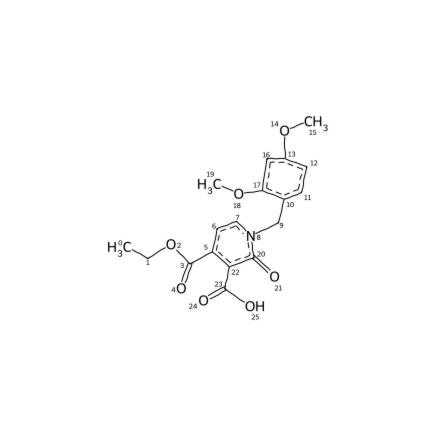 CCOC(=O)c1ccn(Cc2ccc(OC)cc2OC)c(=O)c1C(=O)O